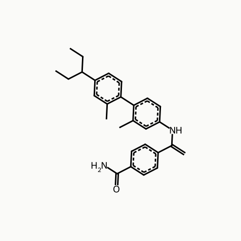 C=C(Nc1ccc(-c2ccc(C(CC)CC)cc2C)c(C)c1)c1ccc(C(N)=O)cc1